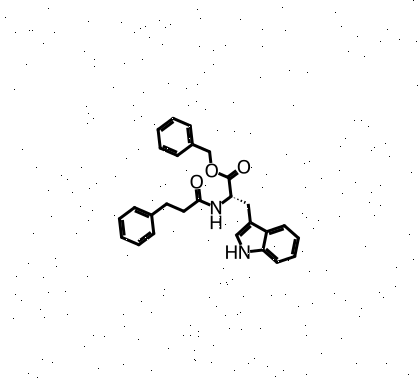 O=C(CCc1ccccc1)N[C@@H](Cc1c[nH]c2ccccc12)C(=O)OCc1ccccc1